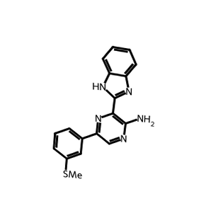 CSc1cccc(-c2cnc(N)c(-c3nc4ccccc4[nH]3)n2)c1